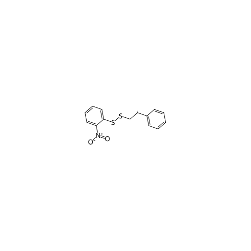 O=[N+]([O-])c1ccccc1SSC[CH]c1ccccc1